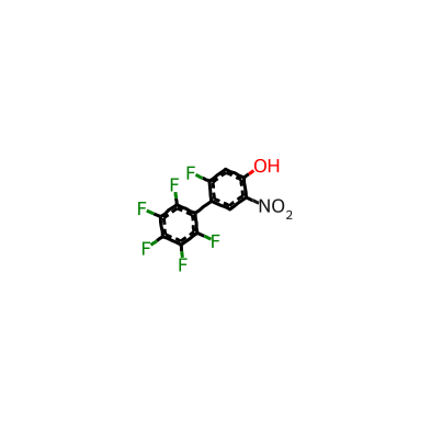 O=[N+]([O-])c1cc(-c2c(F)c(F)c(F)c(F)c2F)c(F)cc1O